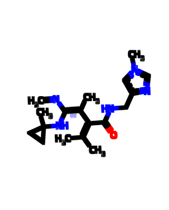 C=N/C(NC1(C)CC1)=C(\C)C(C(=O)NCc1cn(C)cn1)=C(C)C